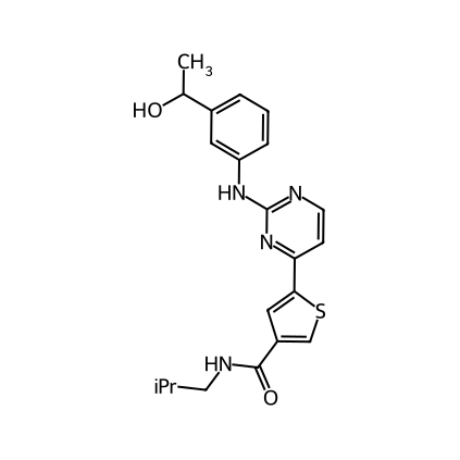 CC(C)CNC(=O)c1csc(-c2ccnc(Nc3cccc(C(C)O)c3)n2)c1